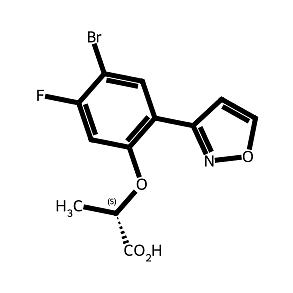 C[C@H](Oc1cc(F)c(Br)cc1-c1ccon1)C(=O)O